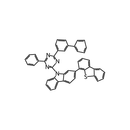 c1ccc(-c2cccc(-c3nc(-c4ccccc4)nc(-n4c5ccccc5c5ccc(-c6cccc7c6sc6ccccc67)cc54)n3)c2)cc1